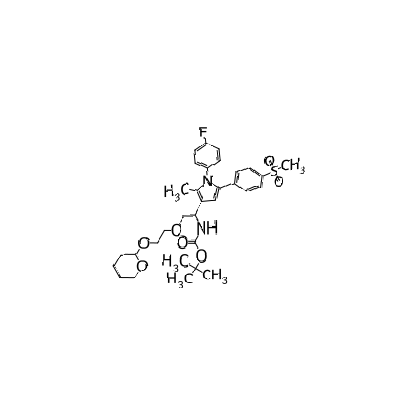 Cc1c(C(COCCOC2CCCCO2)NC(=O)OC(C)(C)C)cc(-c2ccc(S(C)(=O)=O)cc2)n1-c1ccc(F)cc1